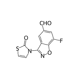 O=Cc1cc(F)c2onc(-n3ccsc3=O)c2c1